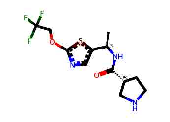 C[C@@H](NC(=O)[C@@H]1CCNC1)c1cnc(OCC(F)(F)F)s1